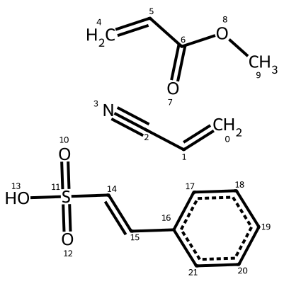 C=CC#N.C=CC(=O)OC.O=S(=O)(O)C=Cc1ccccc1